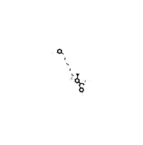 CC(=O)c1cccc(COCCOCCOCCOCCN(c2cc3oc(-c4ccc(F)cc4)c(C(=O)NC(=O)O)c3cc2C2CC2)S(C)(=O)=O)c1